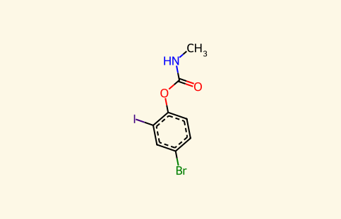 CNC(=O)Oc1ccc(Br)cc1I